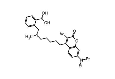 CCN(CC)c1ccc2c(CCCCCN(C)Cc3ccccc3B(O)O)c(C(C)=O)c(=O)oc2c1